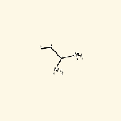 C[CH]C(N)N